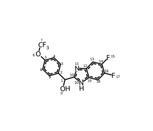 OC(c1ccc(OC(F)(F)F)cc1)c1nc2cc(F)c(F)cc2[nH]1